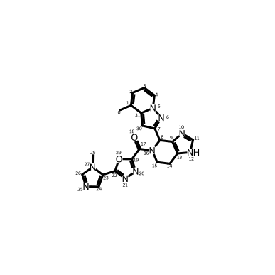 Cc1cccn2nc(C3c4nc[nH]c4CCN3C(=O)c3nnc(-c4cncn4C)o3)cc12